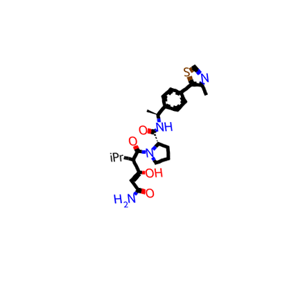 Cc1ncsc1-c1ccc([C@H](C)NC(=O)[C@@H]2CCCN2C(=O)C(/C(O)=C/C(N)=O)C(C)C)cc1